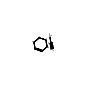 C#CBr.C1=CCCCC1